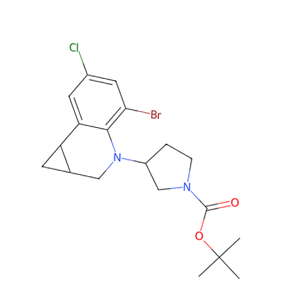 CC(C)(C)OC(=O)N1CCC(N2CC3CC3c3cc(Cl)cc(Br)c32)C1